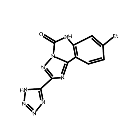 CCc1ccc2c(c1)[nH]c(=O)n1nc(-c3nnn[nH]3)nc21